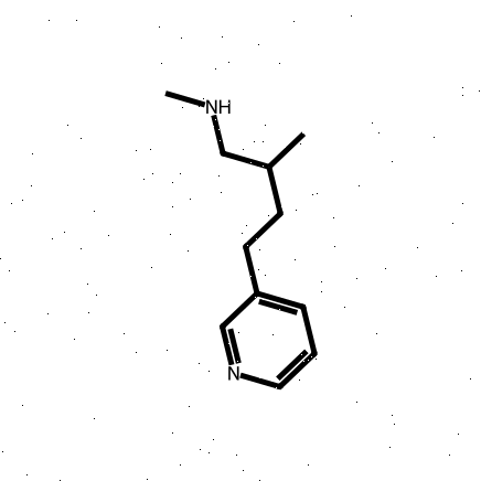 CNCC(C)CCc1cccnc1